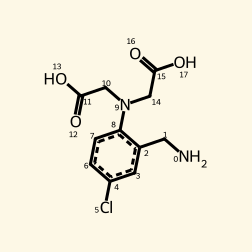 NCc1cc(Cl)ccc1N(CC(=O)O)CC(=O)O